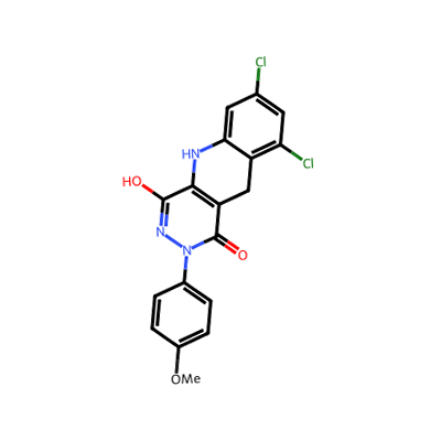 COc1ccc(-n2nc(O)c3c(c2=O)Cc2c(Cl)cc(Cl)cc2N3)cc1